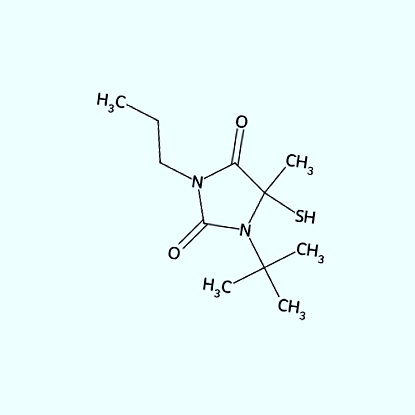 CCCN1C(=O)N(C(C)(C)C)C(C)(S)C1=O